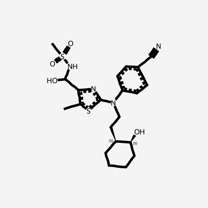 Cc1sc(N(CC[C@@H]2CCCC[C@@H]2O)c2ccc(C#N)cc2)nc1C(O)NS(C)(=O)=O